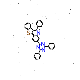 c1ccc(-c2nc(-c3ccccc3)nc(-c3ccc4c(c3)nc(-c3ccccc3)c3c5ccccc5sc43)n2)cc1